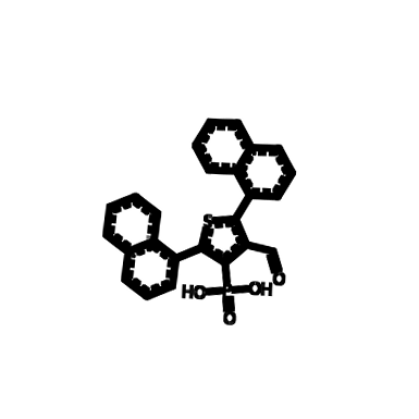 O=Cc1c(-c2cccc3ccccc23)sc(-c2cccc3ccccc23)c1P(=O)(O)O